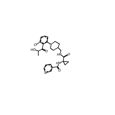 CC(O)C(=O)c1c(Cl)cccc1N1CCC(CNC(=O)C2(NC(=O)c3cccnc3)CC2)CC1